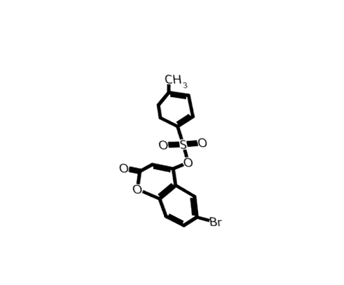 CC1=CC=C(S(=O)(=O)Oc2cc(=O)oc3ccc(Br)cc23)CC1